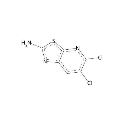 Nc1nc2cc(Cl)c(Cl)nc2s1